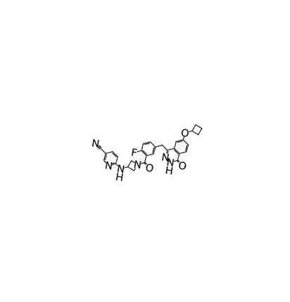 N#Cc1ccc(NC2CN(C(=O)c3cc(Cc4n[nH]c(=O)c5ccc(OC6CCC6)cc45)ccc3F)C2)nc1